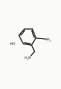 Cl.NCc1ccccc1N